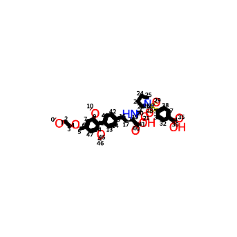 COCCOCc1cc(OC)c(-c2ccc(CC[C@H](NC(=O)[C@@H]3CCCN3S(=O)(=O)c3ccc(C(=O)O)cc3)C(=O)O)cc2)c(OC)c1